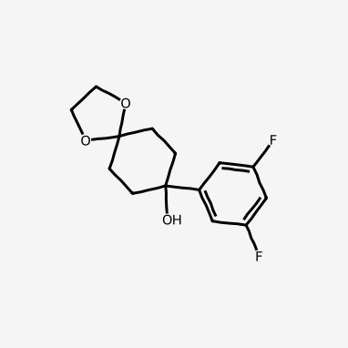 OC1(c2cc(F)cc(F)c2)CCC2(CC1)OCCO2